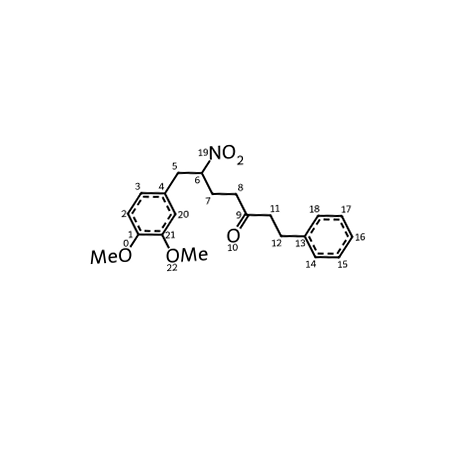 COc1ccc(CC(CCC(=O)CCc2ccccc2)[N+](=O)[O-])cc1OC